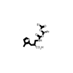 CCC(=O)O[C@H](OC(=O)NC[C@H](Cc1sccc1C)C(=O)O)C(C)C